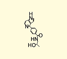 CC(O)CNC(=O)c1ccc(-c2nccc3[nH]ccc23)cc1